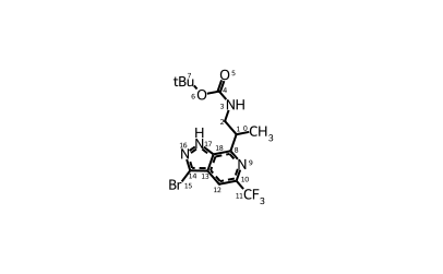 CC(CNC(=O)OC(C)(C)C)c1nc(C(F)(F)F)cc2c(Br)n[nH]c12